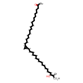 CCC(C)C(=O)CCCCCCCCCCCCCCCCCCC1CC1CCCCCCCCCCCCCCC[C@@H](O)[C@@H](CC)C(=O)O